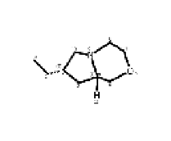 CC[C@H]1C[C@H]2COCCN2C1